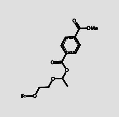 COC(=O)c1ccc(C(=O)OC(C)OCCOC(C)C)cc1